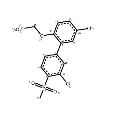 CS(=O)(=O)c1ccc(-c2cc(Cl)ccc2OCC(=O)O)cc1Cl